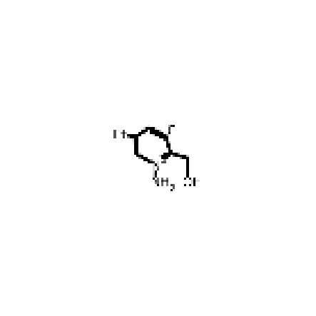 CCc1ccc(CO)[n+](N)c1.[Cl-]